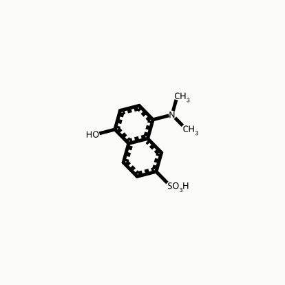 CN(C)c1ccc(O)c2ccc(S(=O)(=O)O)cc12